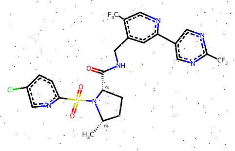 C[C@H]1CC[C@@H](C(=O)NCc2cc(-c3cnc(C(F)(F)F)nc3)ncc2C(F)(F)F)N1S(=O)(=O)c1ccc(Cl)cn1